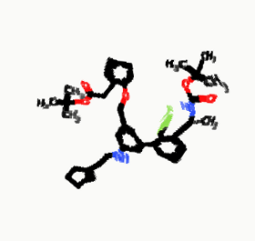 C[C@@H](NC(=O)OC(C)(C)C)c1cccc(-c2cc(COc3ccccc3CC(=O)OC(C)(C)C)cc(NCC3CCCC3)c2)c1F